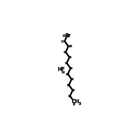 CCCCCCCCCCCCBr.F